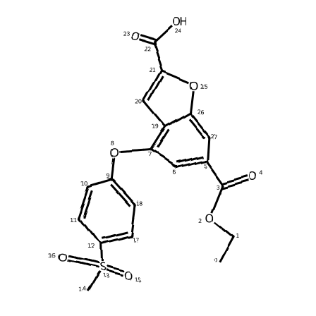 CCOC(=O)c1cc(Oc2ccc(S(C)(=O)=O)cc2)c2cc(C(=O)O)oc2c1